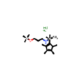 CC1=C(C)C(C)[C]([Zr]([CH3])([CH3])(=[SiH2])[NH]CCCO[Si](C)(C)C)=C1C.Cl.Cl